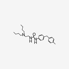 CCCCN(CCCC)CCNC(=O)Nc1ccc(Cc2ccc(C)cc2)cc1